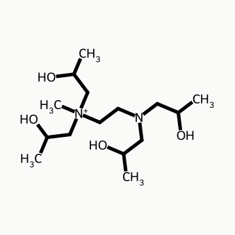 CC(O)CN(CC[N+](C)(CC(C)O)CC(C)O)CC(C)O